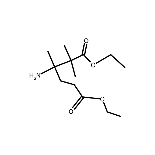 CCOC(=O)CCC(C)(N)C(C)(C)C(=O)OCC